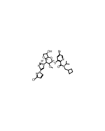 COC1C(n2cc(-n3ccc(Cl)n3)nn2)[C@H]2OCC(O)C2O[C@@H]1Sc1cc(Br)cnc1C(=O)N(CC1CCC1)C(C)C